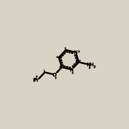 CC(C)COc1ccnc(N)n1